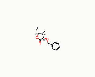 CC[C@H]1OC(=O)[C@H](OCc2ccccc2)[C@@H]1C